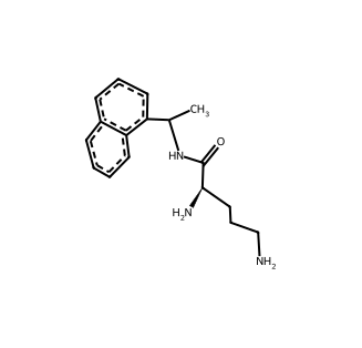 CC(NC(=O)[C@H](N)CCCN)c1cccc2ccccc12